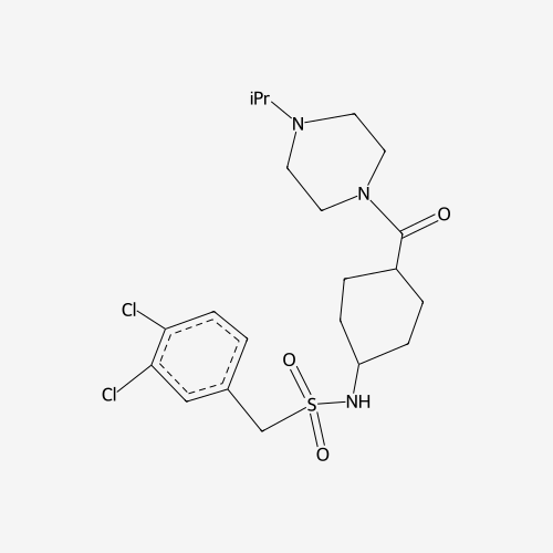 CC(C)N1CCN(C(=O)C2CCC(NS(=O)(=O)Cc3ccc(Cl)c(Cl)c3)CC2)CC1